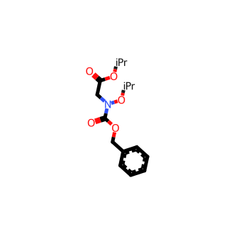 CC(C)OC(=O)CN(OC(C)C)C(=O)OCc1ccccc1